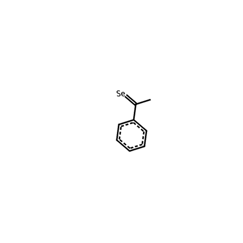 CC(=[Se])c1ccccc1